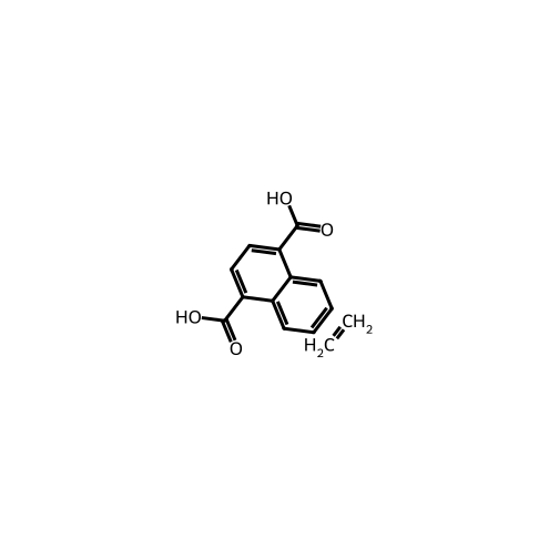 C=C.O=C(O)c1ccc(C(=O)O)c2ccccc12